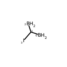 BC(B)I